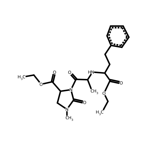 CCOC(=O)C(CCc1ccccc1)NC(C)C(=O)N1C(=O)N(C)CC1C(=O)OCC